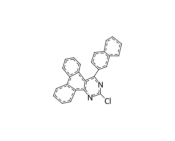 Clc1nc(-c2ccc3ccccc3c2)c2c3ccccc3c3ccccc3c2n1